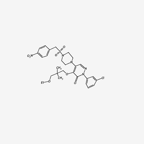 CCOCC(C)(C)COc1c(N2CCN(S(=O)(=O)Cc3ccc([N+](=O)[O-])cc3)CC2)cnn(-c2cccc(Cl)c2)c1=O